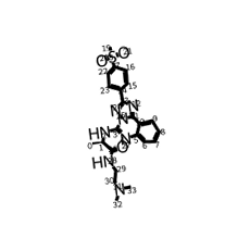 C[C@@H](Nc1nc2ccccc2c2nc(-c3ccc(S(C)(=O)=O)cc3)nn12)C(=O)NCCN(C)C